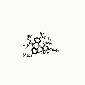 CNCCN(C)[PH](=O)c1ccc(N(C)C)cc1P(c1ccc(OC)cc1OC)c1ccc(OC)cc1OC